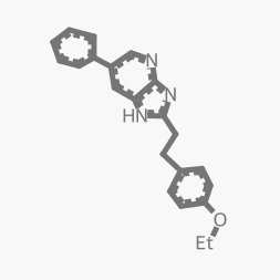 CCOc1ccc(CCc2nc3ncc(-c4ccccc4)cc3[nH]2)cc1